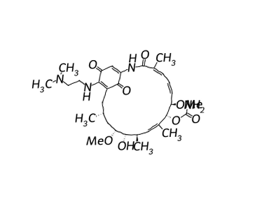 CO[C@@H]1/C=C\C=C(\C)C(=O)NC2=CC(=O)C(NCCN(C)C)=C(C[C@@H](C)C[C@@H](OC)[C@@H](O)[C@H](C)/C=C(/C)[C@H]1OC(N)=O)C2=O